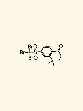 CC1(C)CCC(=O)c2ccc(S(=O)(=O)C(Br)(Br)Br)cc21